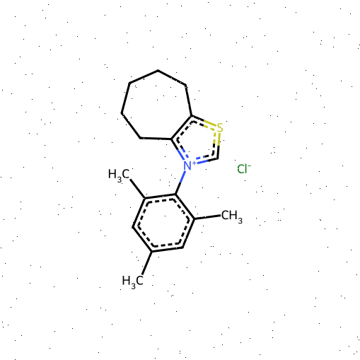 Cc1cc(C)c(-[n+]2csc3c2CCCCC3)c(C)c1.[Cl-]